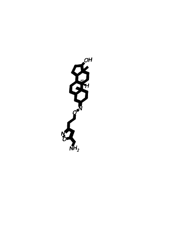 CC12CC[C@H]3C(CCC4CC(=NOCCc5cc(CN)on5)CCC43C)C1CCC2O